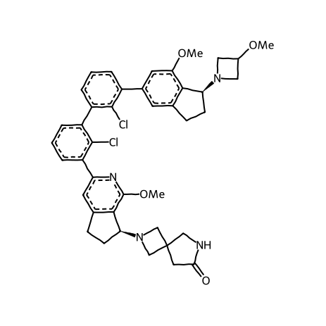 COc1cc(-c2cccc(-c3cccc(-c4cc5c(c(OC)n4)[C@@H](N4CC6(CNC(=O)C6)C4)CC5)c3Cl)c2Cl)cc2c1[C@@H](N1CC(OC)C1)CC2